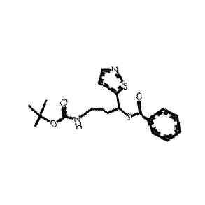 CC(C)(C)OC(=O)NCCC(SC(=O)c1ccccc1)c1ccns1